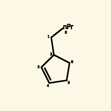 [CH2]CCCC1C=CCC1